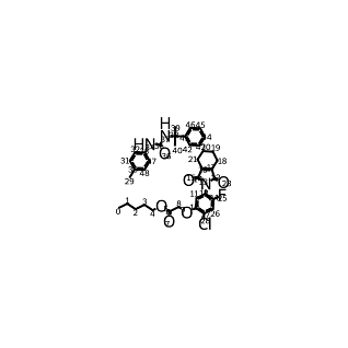 CCCCCOC(=O)COc1cc(N2C(=O)C3=C(CCCC3)C2=O)c(F)cc1Cl.Cc1ccc(NC(=O)NC(C)(C)c2ccccc2)cc1